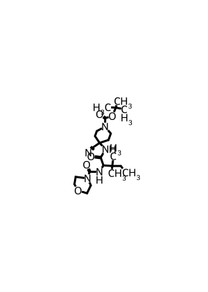 CCC(C)(C)C(NC(=O)N1CCOCC1)C(=O)NC1(C#N)CCN(C(=O)OC(C)(C)C)CC1